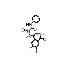 CCN(C(=O)Nc1ccccc1)[C@H](C)c1c[nH]c(=O)c2cc(F)c(F)cc12